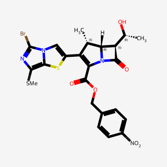 CSc1nc(Br)n2cc(C3=C(C(=O)OCc4ccc([N+](=O)[O-])cc4)N4C(=O)[C@H]([C@@H](C)O)[C@H]4[C@H]3C)sc12